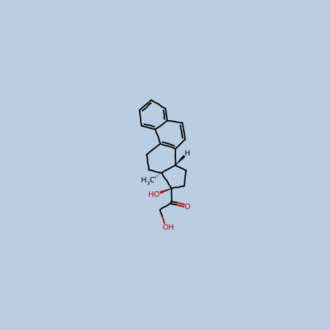 C[C@]12CCc3c(ccc4ccccc34)[C@@H]1CC[C@]2(O)C(=O)CO